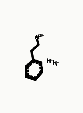 [Al+2][CH2]Cc1ccccc1.[H-].[H-]